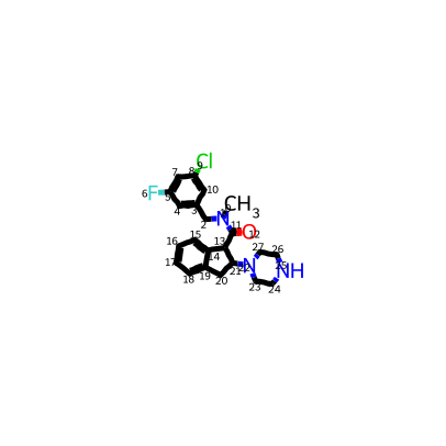 CN(Cc1cc(F)cc(Cl)c1)C(=O)C1c2ccccc2CC1N1CCNCC1